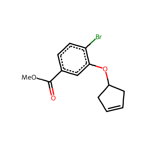 COC(=O)c1ccc(Br)c(OC2CC=CC2)c1